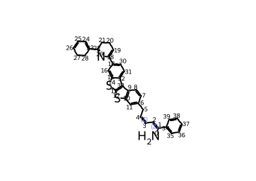 N/C(=C\C=C/Cc1ccc2c(c1)sc1sc3cc(C4=CCCC(C5=CC=CCC5)=N4)ccc3c12)c1ccccc1